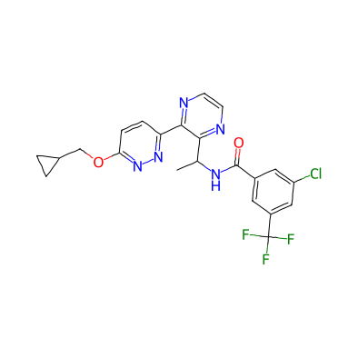 CC(NC(=O)c1cc(Cl)cc(C(F)(F)F)c1)c1nccnc1-c1ccc(OCC2CC2)nn1